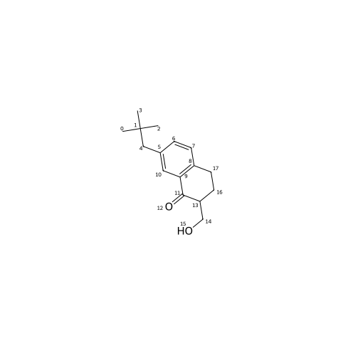 CC(C)(C)Cc1ccc2c(c1)C(=O)C(CO)CC2